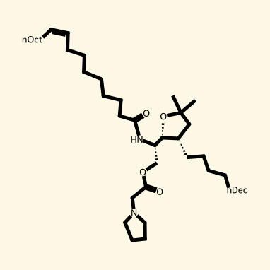 CCCCCCCC/C=C\CCCCCCCC(=O)N[C@@H](COC(=O)CN1CCCC1)[C@@H]1OC(C)(C)C[C@@H]1CCCCCCCCCCCCCC